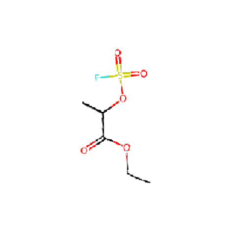 CCOC(=O)C(C)OS(=O)(=O)F